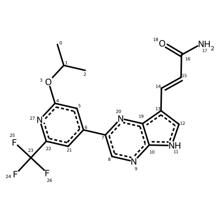 CC(C)Oc1cc(-c2cnc3[nH]cc(C=CC(N)=O)c3n2)cc(C(F)(F)F)n1